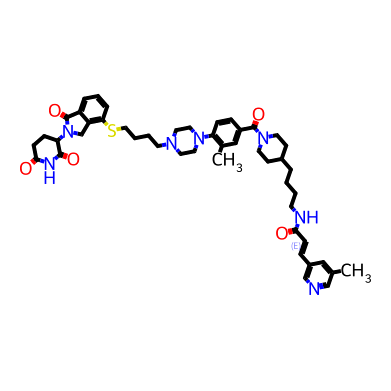 Cc1cncc(/C=C/C(=O)NCCCCC2CCN(C(=O)c3ccc(N4CCN(CCCCSc5cccc6c5CN(C5CCC(=O)NC5=O)C6=O)CC4)c(C)c3)CC2)c1